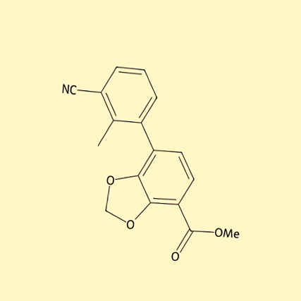 COC(=O)c1ccc(-c2cccc(C#N)c2C)c2c1OCO2